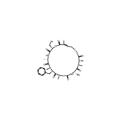 CCC(C)[C@@H]1NC(=O)CN(C)C(=O)[C@@H](Cc2ccccc2)N(C)C(=O)[C@H](C)NC(=O)[C@@H](CC(C)C)OC(=O)/C(C)=C/CCOC(=O)[C@@H](C)N(C)C1=O